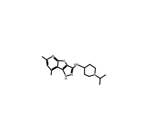 Cc1cc(C)c2c(n1)sc1c(NC3CCN(C(C)C)CC3)n[nH]c12